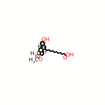 CC(=O)O[C@H]1CC[C@H]2[C@@H]3C(CCCCCCCCCCC(=O)O)=Cc4cc(O)ccc4[C@H]3CC[C@]12C